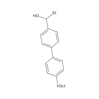 CCCCCCCCc1ccc(-c2ccc(C(O)CC)cc2)cc1